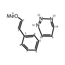 COC=Cc1ccccc1.c1cnnnc1